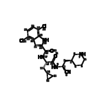 N#C[C@H](C[C@@H]1CCCNC1)NC(=O)[C@H](CC1CC1)NC(=O)c1cc2c(Cl)ccc(Cl)c2[nH]1